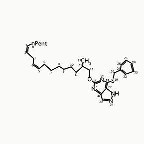 CCCCC/C=C\C/C=C\CCCCCCC(C)COc1nc(SCc2ccccc2)c2[nH]ncc2n1